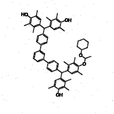 Cc1cc(C(c2ccc(-c3cccc(-c4ccc(C(c5cc(C)c(O)c(C)c5C)c5cc(C)c(OC(C)OC6CCCCC6)c(C)c5C)cc4)c3)cc2)c2cc(C)c(O)c(C)c2C)c(C)c(C)c1O